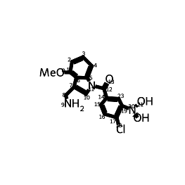 COc1cccc2c1c(CN)cn2C(=O)c1ccc(Cl)c(N(O)O)c1